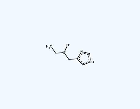 CC[S+]([O-])Cc1c[nH]cn1